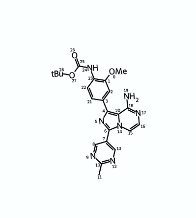 COc1cc(-c2nc(-c3cnc(C)nc3)n3ccnc(N)c23)ccc1NC(=O)OC(C)(C)C